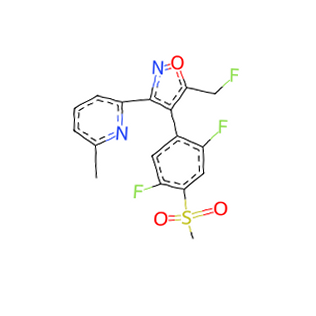 Cc1cccc(-c2noc(CF)c2-c2cc(F)c(S(C)(=O)=O)cc2F)n1